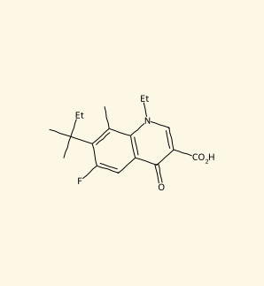 CCn1cc(C(=O)O)c(=O)c2cc(F)c(C(C)(C)CC)c(C)c21